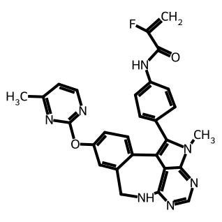 C=C(F)C(=O)Nc1ccc(-c2c3c4c(ncnc4n2C)NCc2cc(Oc4nccc(C)n4)ccc2-3)cc1